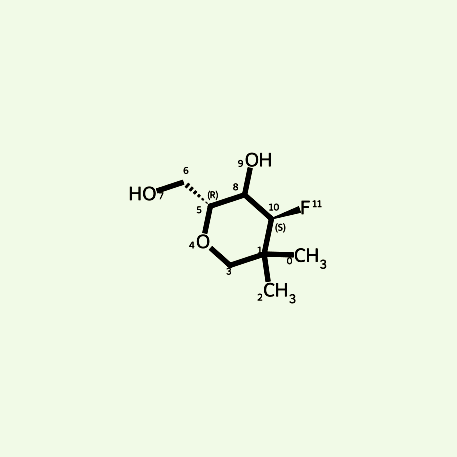 CC1(C)CO[C@H](CO)C(O)[C@H]1F